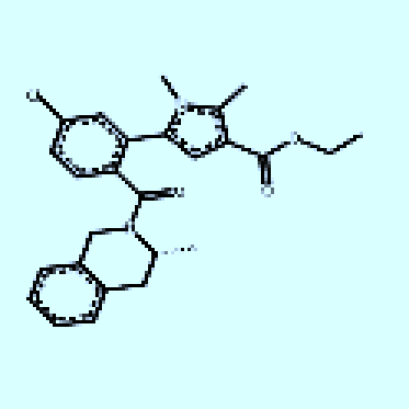 CCOC(=O)c1cc(-c2cc(Cl)ccc2C(=O)N2Cc3ccccc3C[C@H]2C)n(C)c1C